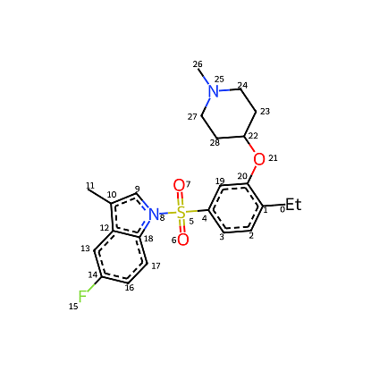 CCc1ccc(S(=O)(=O)n2cc(C)c3cc(F)ccc32)cc1OC1CCN(C)CC1